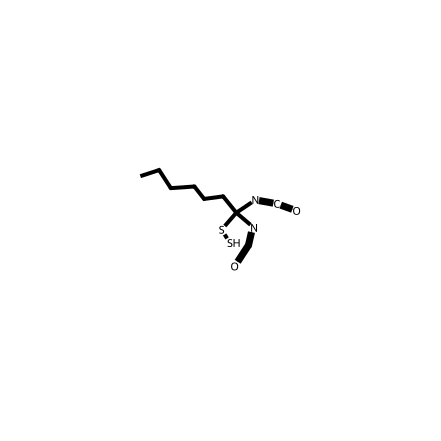 CCCCCCC(N=C=O)(N=C=O)SS